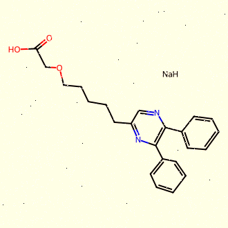 O=C(O)COCCCCCc1cnc(-c2ccccc2)c(-c2ccccc2)n1.[NaH]